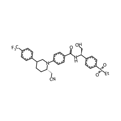 CCS(=O)(=O)c1ccc([C@H](CO)NC(=O)c2ccc(N3CC(c4ccc(C(F)(F)F)cc4)CC[C@H]3CC#N)cc2)cc1